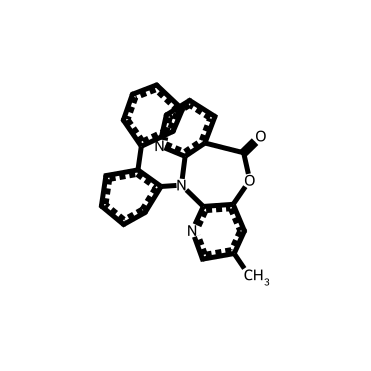 Cc1cnc2c(c1)OC(=O)c1cccnc1N2c1ccccc1-c1ccccc1